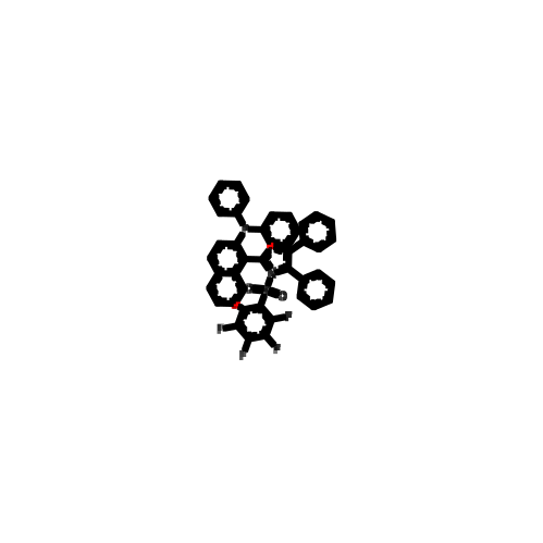 O=S(=O)(c1c(F)c(F)c(F)c(F)c1F)n1c(-c2c(P(c3ccccc3)c3ccccc3)ccc3ccccc23)nc(-c2ccccc2)c1-c1ccccc1